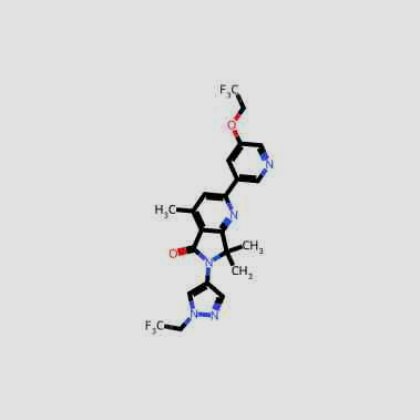 Cc1cc(-c2cncc(OCC(F)(F)F)c2)nc2c1C(=O)N(c1cnn(CC(F)(F)F)c1)C2(C)C